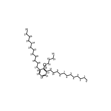 CCCCCCCCCCCCc1c[c]cc(CCCCCCCCCCCC)c1OCCCC